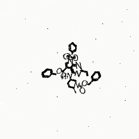 CCc1nc(N[C@@H]2CC[C@H](C)N(C(=O)OCc3ccccc3)C2)c2c(C(=O)OCc3ccccc3)cn(S(=O)(=O)c3ccccc3)c2n1